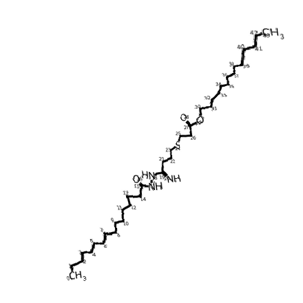 CCCCCCCCCCCCCCCC(=O)NNC(=N)CCCSCCC(=O)OCCCCCCCCCCCCCC